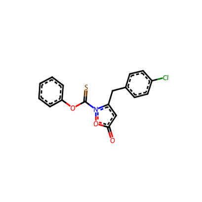 O=c1cc(Cc2ccc(Cl)cc2)n(C(=S)Oc2ccccc2)o1